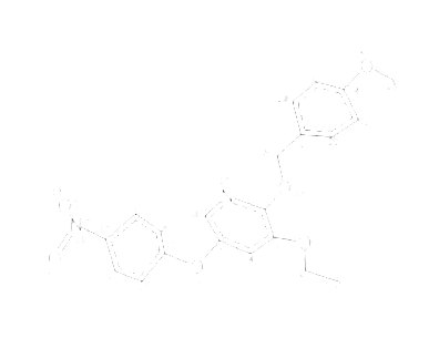 CCOc1cc(Oc2ccc([N+](=O)[O-])cc2)cnc1OCc1ccc(OC)cc1